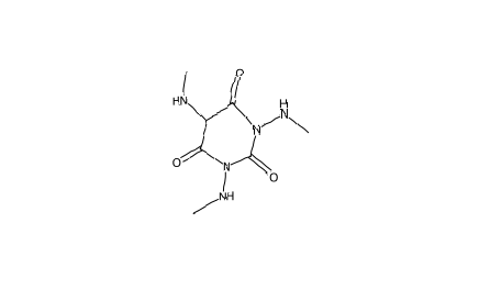 CNC1C(=O)N(NC)C(=O)N(NC)C1=O